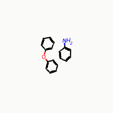 Nc1ccccc1.c1ccc(Oc2ccccc2)cc1